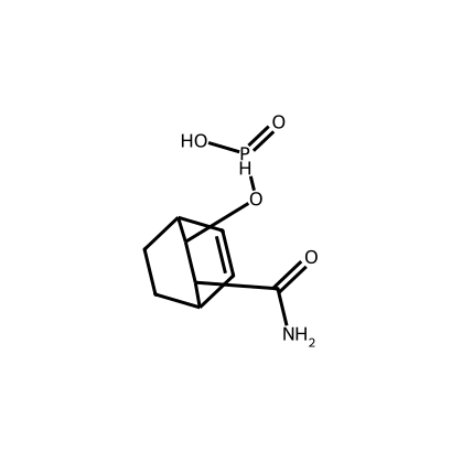 NC(=O)C1C2C=CC(CC2)C1O[PH](=O)O